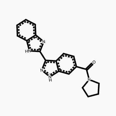 O=C(c1ccc2c(-c3nc4ccccc4[nH]3)n[nH]c2c1)N1CCCC1